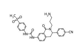 CS(=O)(=O)c1ccc(NC(=O)Nc2ccc3c(c2)C(=O)N(CCCN)C(c2ccc(C#N)cc2)C3)cc1